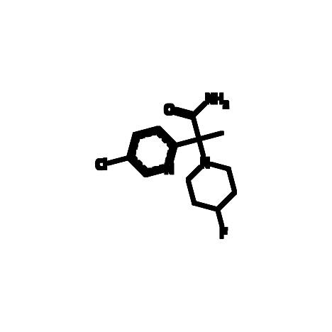 CC(C(N)=O)(c1ccc(Cl)cn1)N1CCC(F)CC1